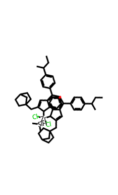 CCC(C)c1ccc(-c2cccc3c2C=C(CC24CCC(CC2)C4)[CH]3[Zr]([Cl])([Cl])([CH]2C(CC34CCC(CC3)C4)=Cc3c(-c4ccc(C(C)CC)cc4)cccc32)[SiH](C)C)cc1